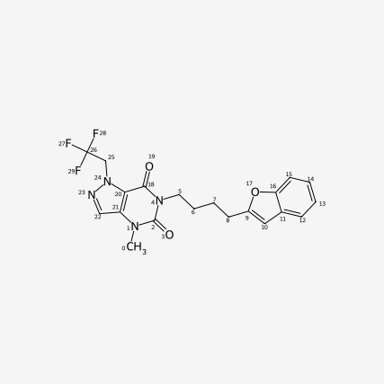 Cn1c(=O)n(CCCCc2cc3ccccc3o2)c(=O)c2c1cnn2CC(F)(F)F